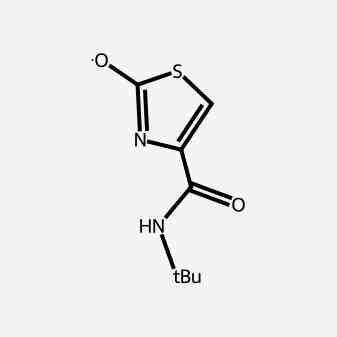 CC(C)(C)NC(=O)c1csc([O])n1